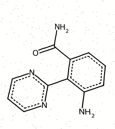 NC(=O)c1cccc(N)c1-c1ncccn1